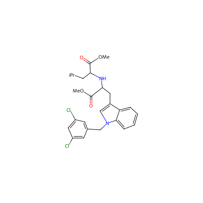 COC(=O)C(Cc1cn(Cc2cc(Cl)cc(Cl)c2)c2ccccc12)NC(CC(C)C)C(=O)OC